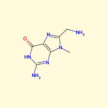 Cn1c(CN)nc2c(=O)[nH]c(N)nc21